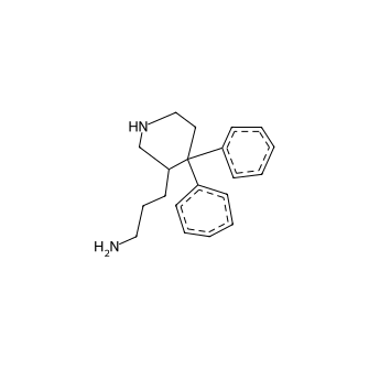 NCCCC1CNCCC1(c1ccccc1)c1ccccc1